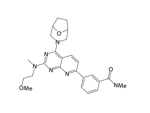 CNC(=O)c1cccc(-c2ccc3c(N4CC5CCC(C4)O5)nc(N(C)CCOC)nc3n2)c1